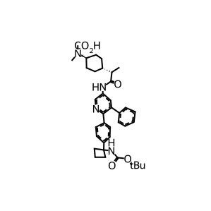 CC(C(=O)Nc1cnc(-c2ccc(C3(NC(=O)OC(C)(C)C)CCC3)cc2)c(-c2ccccc2)c1)[C@H]1CC[C@H](N(C)C(=O)O)CC1